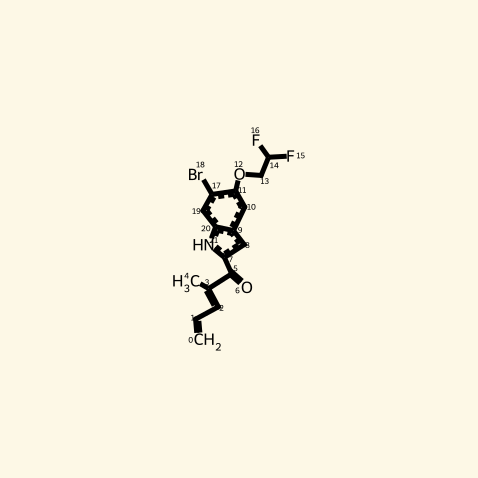 C=C/C=C(\C)C(=O)c1cc2cc(OCC(F)F)c(Br)cc2[nH]1